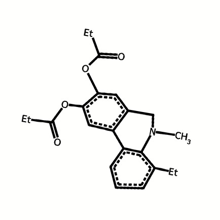 CCC(=O)Oc1cc2c(cc1OC(=O)CC)-c1cccc(CC)c1N(C)C2